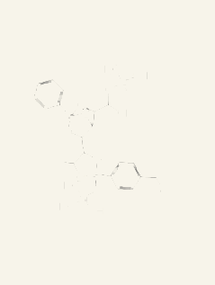 CCc1ccc([Si]2(O[Si](C)(C)C)OC(C)C(C3O[Si]4(c5ccccc5)OC(C(C)O[Si](C)(C)C)C3O4)O2)cc1